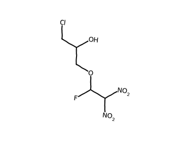 O=[N+]([O-])C(C(F)OCC(O)CCl)[N+](=O)[O-]